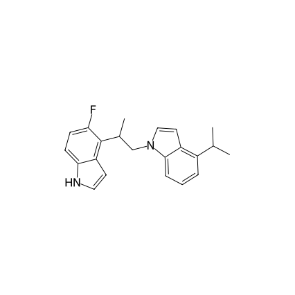 CC(C)c1cccc2c1ccn2CC(C)c1c(F)ccc2[nH]ccc12